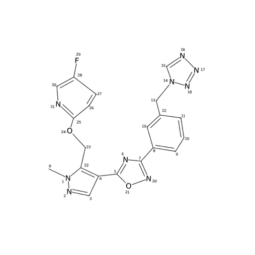 Cn1ncc(-c2nc(-c3cccc(Cn4cnnn4)c3)no2)c1COc1ccc(F)cn1